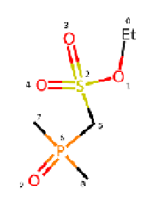 CCOS(=O)(=O)CP(C)(C)=O